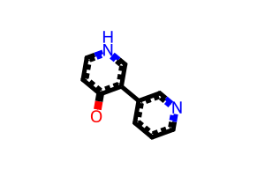 O=c1cc[nH]cc1-c1cccnc1